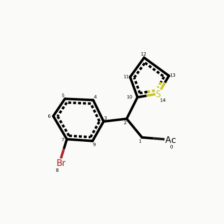 CC(=O)CC(c1cccc(Br)c1)c1cccs1